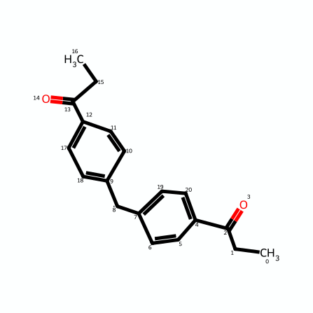 CCC(=O)c1ccc([CH]c2ccc(C(=O)CC)cc2)cc1